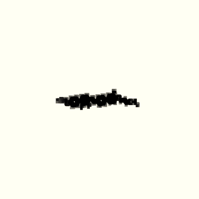 C=CCCOc1ccc(C2CCC(CCc3ccc(C4CCC(OCCCC)CC4)c(F)c3F)CC2)cc1F